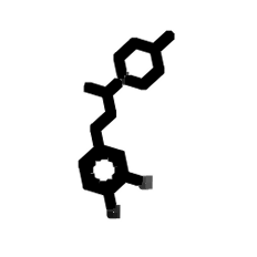 CC1CCN(C(C)CCc2ccc(Cl)c(Cl)c2)CC1